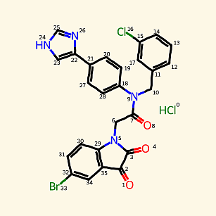 Cl.O=C1C(=O)N(CC(=O)N(Cc2cccc(Cl)c2)c2ccc(-c3c[nH]cn3)cc2)c2ccc(Br)cc21